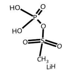 CS(=O)(=O)OP(=O)(O)O.[LiH]